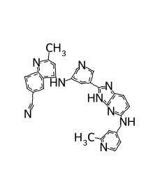 Cc1cc(Nc2ccc3nc(-c4cncc(Nc5cc(C)nc6ccc(C#N)cc56)c4)[nH]c3n2)ccn1